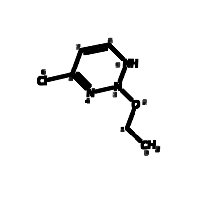 CCON1N=C(Cl)C=[C]N1